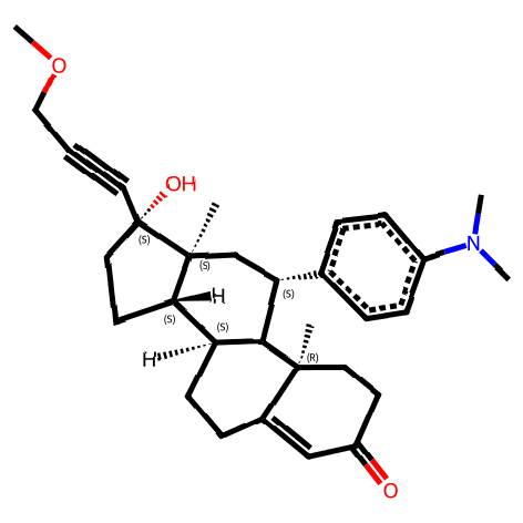 COCC#C[C@]1(O)CC[C@H]2[C@@H]3CCC4=CC(=O)CC[C@]4(C)C3[C@@H](c3ccc(N(C)C)cc3)C[C@@]21C